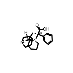 O=C(O)[C@@](C[C@H]1CN2CCC1CC2)(c1ccccc1)N1CCCCC1